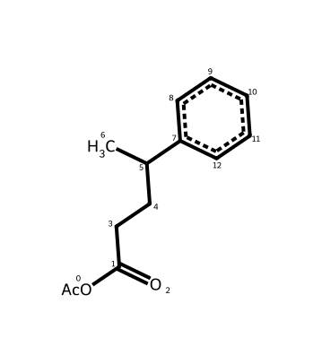 CC(=O)OC(=O)CCC(C)c1ccccc1